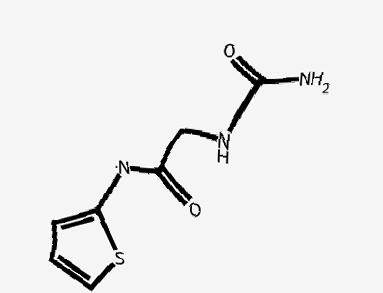 NC(=O)NCC(=O)[N]c1cccs1